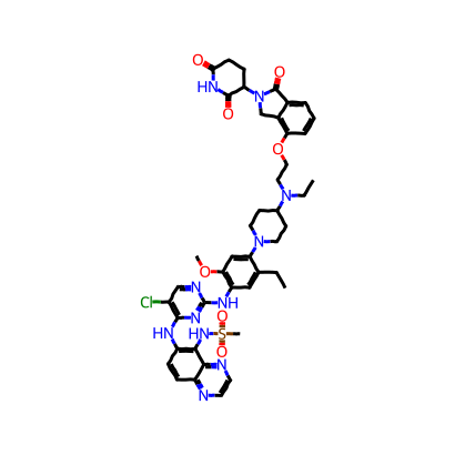 CCc1cc(Nc2ncc(Cl)c(Nc3ccc4nccnc4c3NS(C)(=O)=O)n2)c(OC)cc1N1CCC(N(CC)CCOc2cccc3c2CN(C2CCC(=O)NC2=O)C3=O)CC1